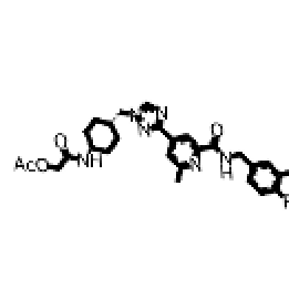 CC(=O)OCC(=O)N[C@H]1CC[C@H](Cn2cnc(-c3cc(C)nc(C(=O)NCc4ccc(F)c(C)c4)c3)n2)CC1